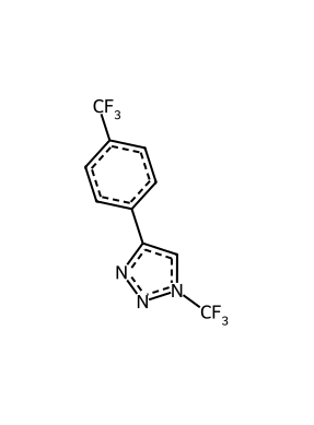 FC(F)(F)c1ccc(-c2cn(C(F)(F)F)nn2)cc1